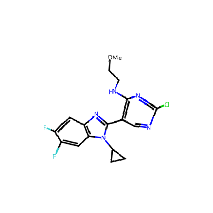 COCCNc1nc(Cl)ncc1-c1nc2cc(F)c(F)cc2n1C1CC1